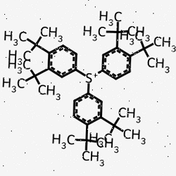 CC(C)(C)c1ccc([S+](c2ccc(C(C)(C)C)c(C(C)(C)C)c2)c2ccc(C(C)(C)C)c(C(C)(C)C)c2)cc1C(C)(C)C